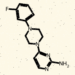 Nc1nccc(N2CCN(c3cccc(F)c3)CC2)n1